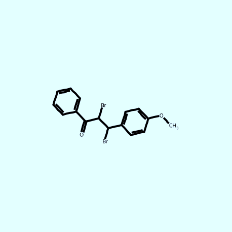 COc1ccc(C(Br)C(Br)C(=O)c2ccccc2)cc1